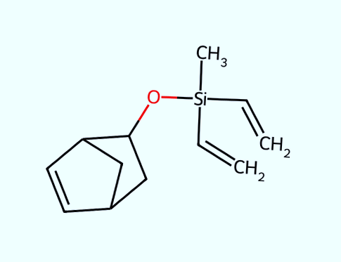 C=C[Si](C)(C=C)OC1CC2C=CC1C2